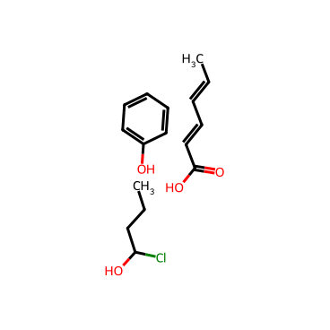 CC=CC=CC(=O)O.CCCC(O)Cl.Oc1ccccc1